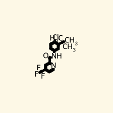 CC(C)(C)c1cc(NC(=O)c2cc(C(F)(F)F)ccn2)ccc1Cl